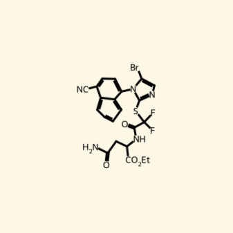 CCOC(=O)C(CC(N)=O)NC(=O)C(F)(F)Sc1ncc(Br)n1-c1ccc(C#N)c2ccccc12